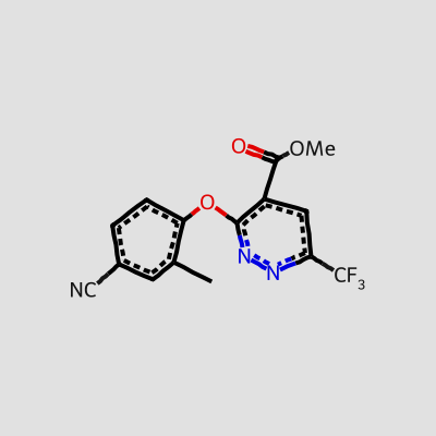 COC(=O)c1cc(C(F)(F)F)nnc1Oc1ccc(C#N)cc1C